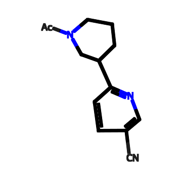 CC(=O)N1CCCC(c2ccc(C#N)cn2)C1